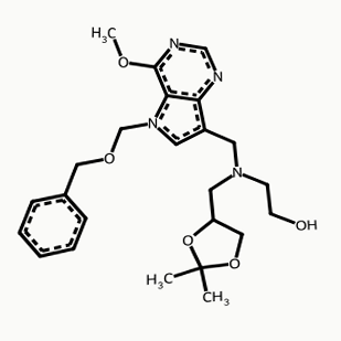 COc1ncnc2c(CN(CCO)CC3COC(C)(C)O3)cn(COCc3ccccc3)c12